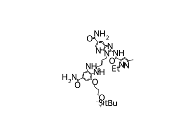 CCn1nc(C)cc1C(=O)Nc1nc2cc(C(N)=O)cnc2n1C/C=C/CNc1c(N)cc(C(N)=O)cc1OCCCO[Si](C)(C)C(C)(C)C